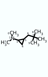 CN(C)C1CC1CC(C)(C)C